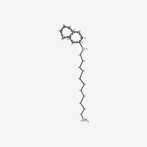 CCCCCCCCCCCCOc1ccc2ccccc2c1